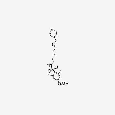 COc1cc(C)c(S(=O)(=O)N(C)CCCCCOCc2ccccc2)c(C)c1